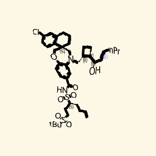 C=CCC[C@@H](CCS(=O)(=O)C(C)(C)C)S(=O)(=O)NC(=O)c1ccc2c(c1)N(C[C@@H]1CC[C@H]1[C@@H](O)/C=C/CCC)C[C@@]1(CCCc3cc(Cl)ccc31)CO2